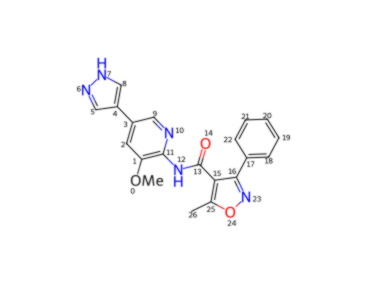 COc1cc(-c2cn[nH]c2)cnc1NC(=O)c1c(-c2ccccc2)noc1C